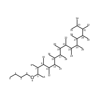 CCCCOC(C)C(C)C(C)C(C)C(C)C(C)C(C)C(C)C(C)C(C)C(C)C(C)C(C)C(C)C(C)C